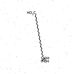 O=C(O)CCCCCCCCCCCCCCCCCCCCCCCOP(=O)(O)O